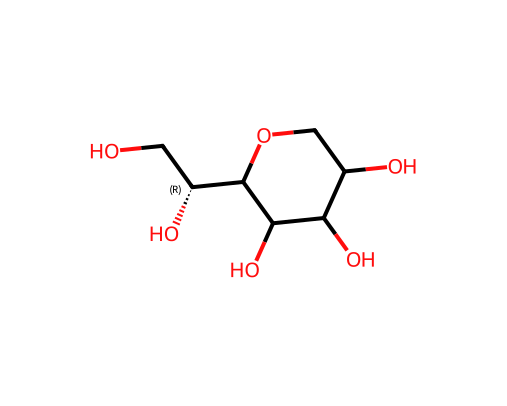 OC[C@@H](O)C1OCC(O)C(O)C1O